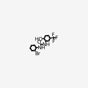 O=C(Nc1cc(C(F)(F)F)ccc1O)Nc1ccccc1Br